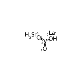 [La].[O]=[V](=[O])[OH].[SrH2]